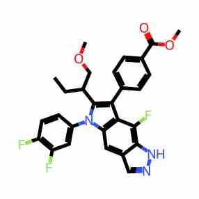 CCC(COC)c1c(-c2ccc(C(=O)OC)cc2)c2c(F)c3[nH]ncc3cc2n1-c1ccc(F)c(F)c1